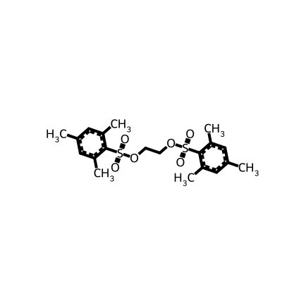 Cc1cc(C)c(S(=O)(=O)OCCOS(=O)(=O)c2c(C)cc(C)cc2C)c(C)c1